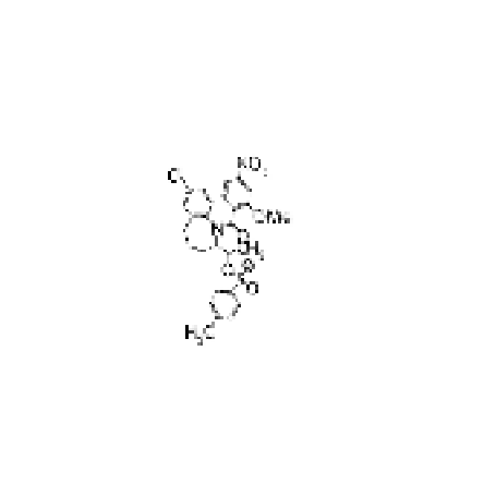 COc1cc([N+](=O)[O-])ccc1C(=O)N1c2ccc(Cl)cc2CCCC1C(C)OS(=O)(=O)c1ccc(C)cc1